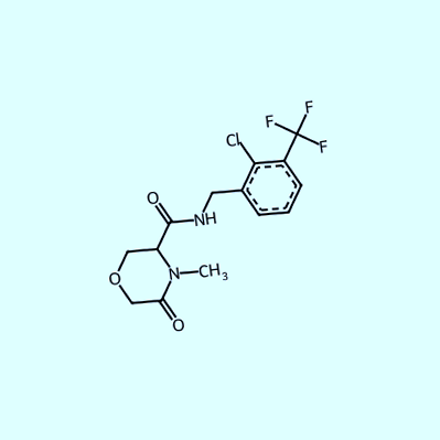 CN1C(=O)COCC1C(=O)NCc1cccc(C(F)(F)F)c1Cl